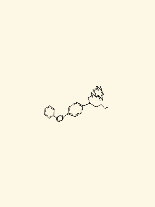 CCCCC(Cn1cncn1)c1ccc(Oc2ccccc2)cc1